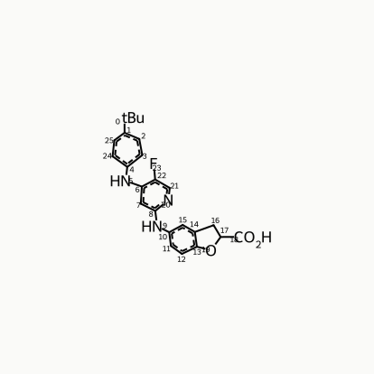 CC(C)(C)c1ccc(Nc2cc(Nc3ccc4c(c3)CC(C(=O)O)O4)ncc2F)cc1